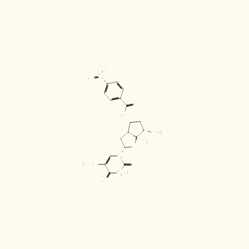 Cc1cn([C@H]2C[C@@H]3[C@H](O2)[C@H](C)C[C@H]3OC(=O)c2ccc([N+](=O)[O-])cc2)c(=O)[nH]c1=O